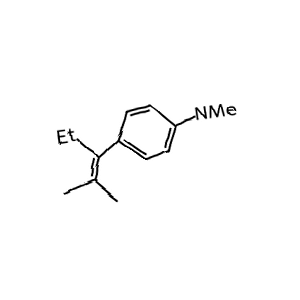 CCC(=C(C)C)c1ccc(NC)cc1